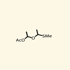 CSC(C)OC(C)OC(C)=O